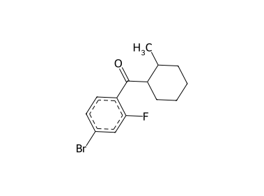 CC1CCCCC1C(=O)c1ccc(Br)cc1F